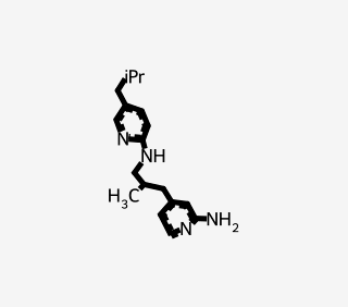 CC(C)Cc1ccc(NCC(C)Cc2ccnc(N)c2)nc1